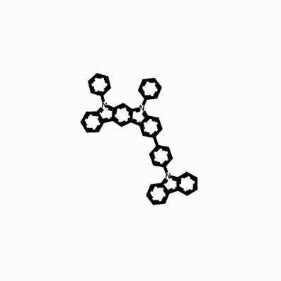 c1ccc(-n2c3ccccc3c3cc4c5cc(-c6ccc(-n7c8ccccc8c8ccccc87)cc6)ccc5n(-c5ccccc5)c4cc32)cc1